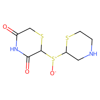 O=C1CSC([S+]([O-])C2CNCCS2)C(=O)N1